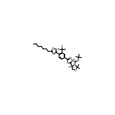 CCCCCCCc1nc(-c2ccc(-c3nnc([C@@]4(C)COC(C)(C)N4C(=O)OC(C)(C)C)s3)cc2C(F)(F)F)no1